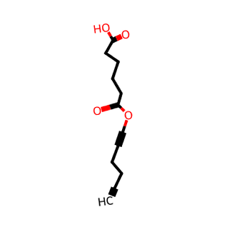 C#CCCC#COC(=O)CCCCC(=O)O